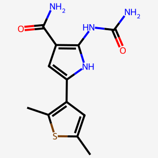 Cc1cc(-c2cc(C(N)=O)c(NC(N)=O)[nH]2)c(C)s1